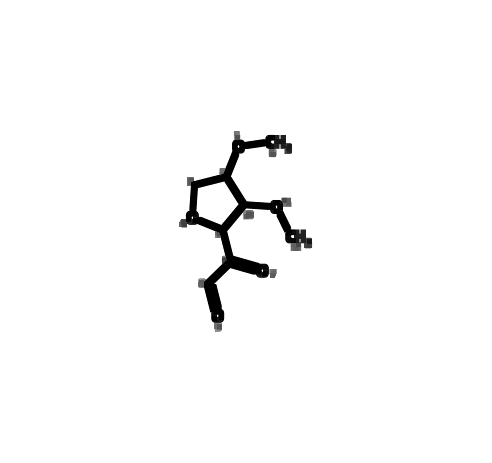 COC1COC(C(=O)C=O)C1OC